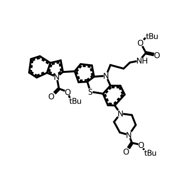 CC(C)(C)OC(=O)NCCCN1c2ccc(-c3cc4ccccc4n3C(=O)OC(C)(C)C)cc2Sc2cc(N3CCN(C(=O)OC(C)(C)C)CC3)ccc21